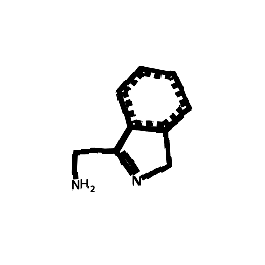 NCC1=NCc2ccccc21